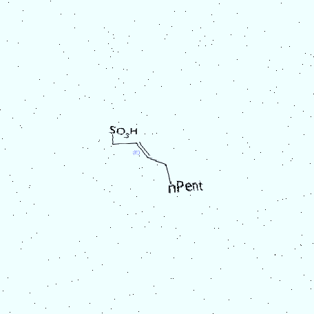 CCCCCC/C=C/CS(=O)(=O)O